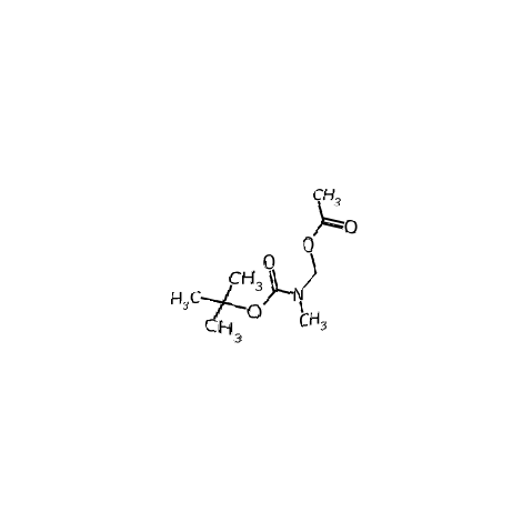 CC(=O)OCN(C)C(=O)OC(C)(C)C